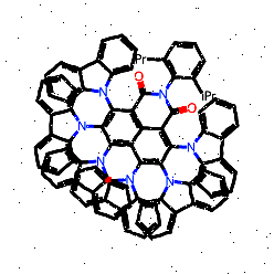 CC(C)c1cccc(C(C)C)c1N1C(=O)c2c(-n3c4ccccc4c4ccccc43)c(-n3c4ccccc4c4ccccc43)c(-n3c4ccccc4c4ccccc43)c3c(-n4c5ccccc5c5ccccc54)c(-n4c5ccccc5c5ccccc54)c(-n4c5ccccc5c5ccccc54)c(c23)C1=O